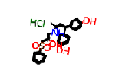 C[C@@H](CC(c1ccc(O)cc1)c1ccc(O)cc1)NC[C@H](O)CS(=O)(=O)c1ccccc1.Cl